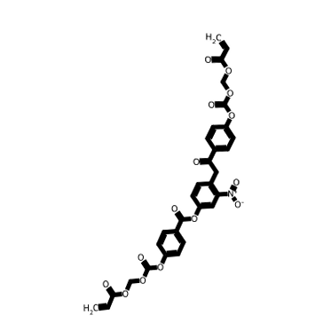 C=CC(=O)OCOC(=O)Oc1ccc(C(=O)Cc2ccc(OC(=O)c3ccc(OC(=O)OCOC(=O)C=C)cc3)cc2[N+](=O)[O-])cc1